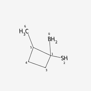 BC1(S)CCC1C